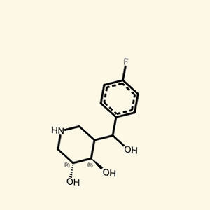 OC(c1ccc(F)cc1)C1CNC[C@@H](O)[C@@H]1O